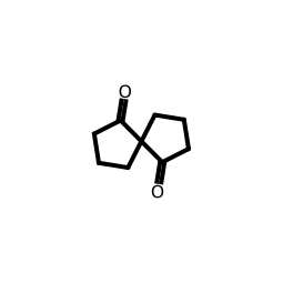 O=C1CCCC12CCCC2=O